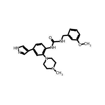 COc1cccc(CNC(=O)Nc2ccc(-c3cn[nH]c3)cc2N2CCN(C)CC2)c1